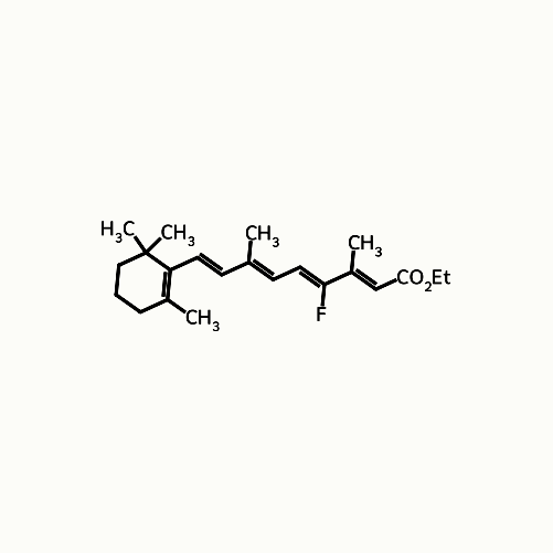 CCOC(=O)/C=C(C)/C(F)=C/C=C(C)/C=C/C1=C(C)CCCC1(C)C